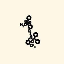 CN(c1cccc(OCCCN(Cc2cccc(C(F)(F)F)c2Cl)CC(c2ccccc2)c2ccccc2)c1)S(=O)(=O)c1ccccc1